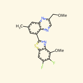 COCc1cnc2c(-c3nc4c(OC)c(F)c(F)cc4s3)cc(C)cc2n1